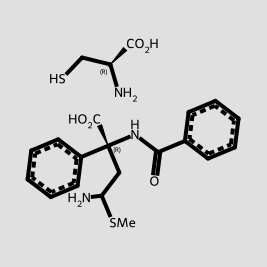 CSC(N)C[C@](NC(=O)c1ccccc1)(C(=O)O)c1ccccc1.N[C@@H](CS)C(=O)O